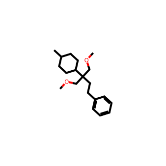 COCC(CCc1ccccc1)(COC)C1CCC(C)CC1